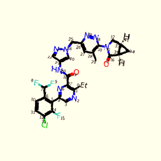 CCc1ncc(-c2c(C(F)F)ccc(Cl)c2F)nc1C(=O)Nc1cnn(Cc2cc(C)c(N3C[C@H]4C[C@H]4C3=O)nn2)c1